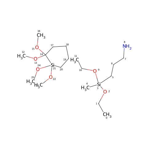 CCO[Si](C)(CCCN)OCC.COC1(OC)CCCC[Si]1(OC)OC